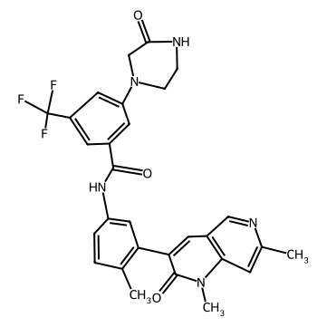 Cc1cc2c(cn1)cc(-c1cc(NC(=O)c3cc(N4CCNC(=O)C4)cc(C(F)(F)F)c3)ccc1C)c(=O)n2C